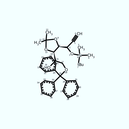 C#CC(O[Si](C)(C)C(C)(C)C)[C@@H]1OC(C)(C)O[C@@H]1C(O)COC(c1ccccc1)(c1ccccc1)c1ccccc1